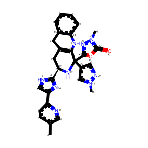 Cc1ccc(-c2c[nH]c([C@H]3CC4=C(Nc5ccccc5C4)C(c4cnn(C)c4)(c4nn(C)c(=O)o4)N3)n2)nc1